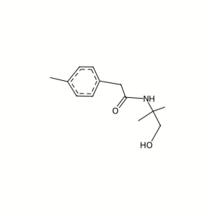 Cc1ccc(CC(=O)NC(C)(C)CO)cc1